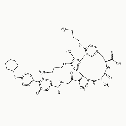 C[C@@H]1NC(=O)[C@@H](N(C)C(=O)CNC(=O)c2cnn(-c3ccc(OC4CCCCC4)cc3)c(=O)c2)c2cc(OCCCN)c(O)c(c2)-c2cc(ccc2OCCCN)C[C@@H](C(=O)O)NC1=O